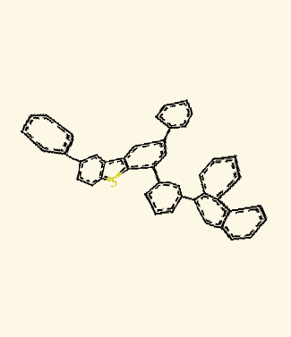 c1ccc(-c2ccc3sc4c(-c5cccc(-c6cc7ccccc7c7ccccc67)c5)cc(-c5ccccc5)cc4c3c2)cc1